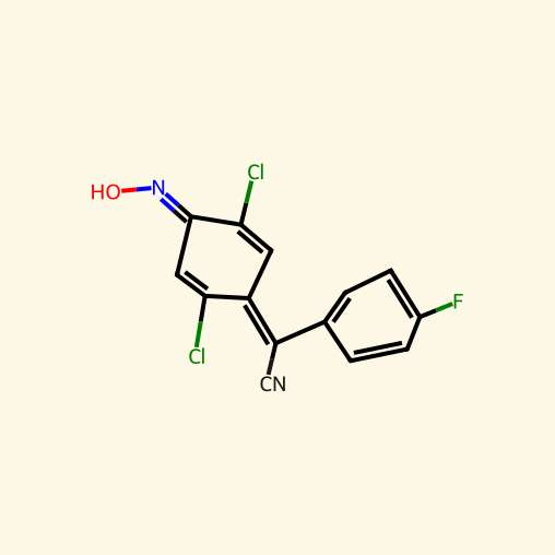 N#CC(=C1C=C(Cl)C(=NO)C=C1Cl)c1ccc(F)cc1